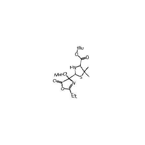 CCC1=NC(OC)(C2NC(C(=O)OC(C)(C)C)C(C)(C)S2)C(=O)O1